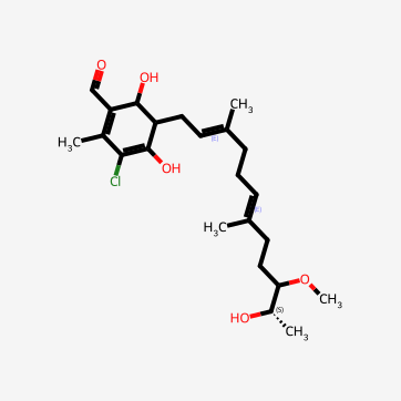 COC(CC/C(C)=C/CC/C(C)=C/CC1C(O)=C(Cl)C(C)=C(C=O)C1O)[C@H](C)O